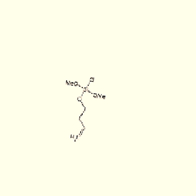 C=CCCO[Si](Cl)(OC)OC